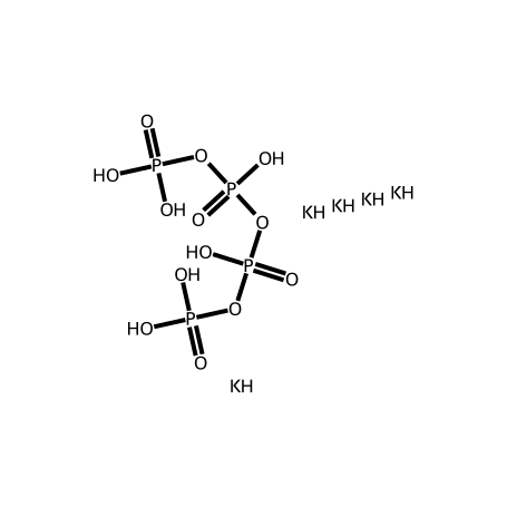 O=P(O)(O)OP(=O)(O)OP(=O)(O)OP(=O)(O)O.[KH].[KH].[KH].[KH].[KH]